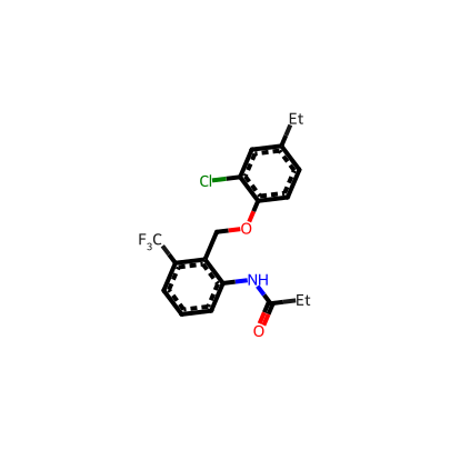 CCC(=O)Nc1cccc(C(F)(F)F)c1COc1ccc(CC)cc1Cl